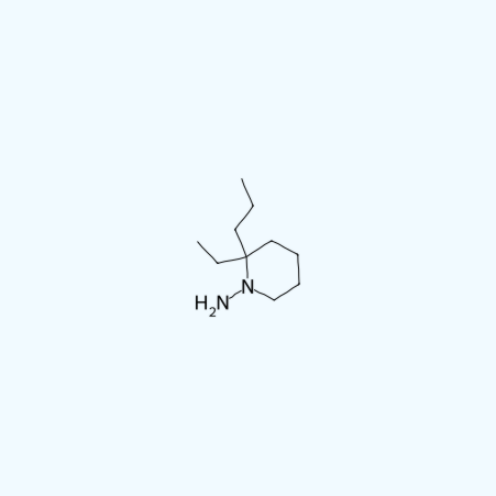 CCCC1(CC)CCCCN1N